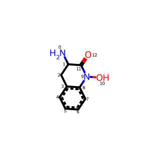 NC1Cc2ccccc2N(O)C1=O